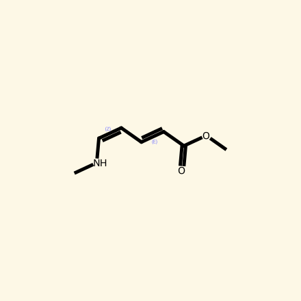 CN/C=C\C=C\C(=O)OC